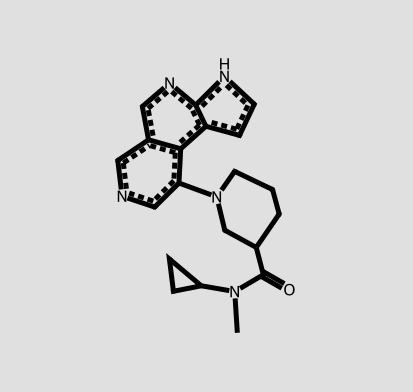 CN(C(=O)C1CCCN(c2cncc3cnc4[nH]ccc4c23)C1)C1CC1